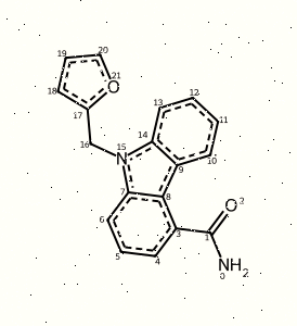 NC(=O)c1cccc2c1c1[c]cccc1n2Cc1ccco1